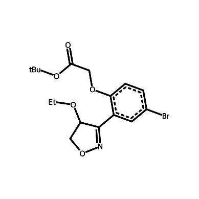 CCOC1CON=C1c1cc(Br)ccc1OCC(=O)OC(C)(C)C